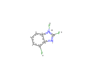 Fc1cccc2c1nc(F)n2F